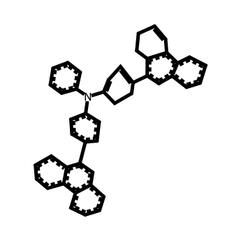 C1=Cc2c(c(C3=CC=C(N(c4ccccc4)c4ccc(-c5cc6ccccc6c6ccccc56)cc4)CC3)cc3ccccc23)CC1